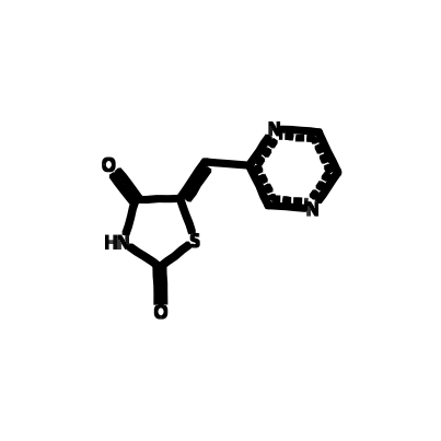 O=C1NC(=O)/C(=C/c2cnccn2)S1